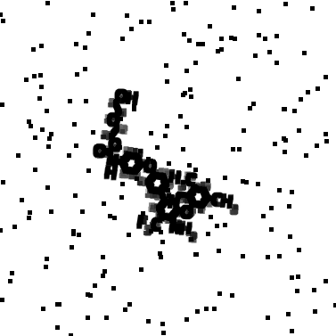 Cc1ccc(Cn2c(-c3ccc(Oc4ccc(NC(=O)OCCOCCO)cc4)cc3)cc(C(F)(F)F)c(N)c2=O)c(C)c1